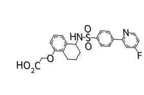 O=C(O)COc1cccc2c1CCCC2NS(=O)(=O)c1ccc(-c2cc(F)ccn2)cc1